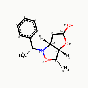 C[C@@H]1ON([C@H](C)c2ccccc2)[C@@H]2CC(O)O[C@H]12